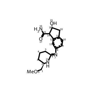 COC[C@H]1CCCC(=Nc2ccc3c(c2)C(C(N)=O)[C@H](O)C3)N1